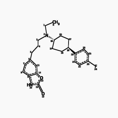 CCN(CCCc1ccc2[nH]c(=O)oc2c1)[C@H]1CC[C@H](c2ccc(F)cc2)CC1